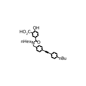 CCCCCCN(Cc1ccc(C#Cc2ccc(CCCC)cc2)cc1)C(=O)c1ccc(O)c(C(=O)O)c1